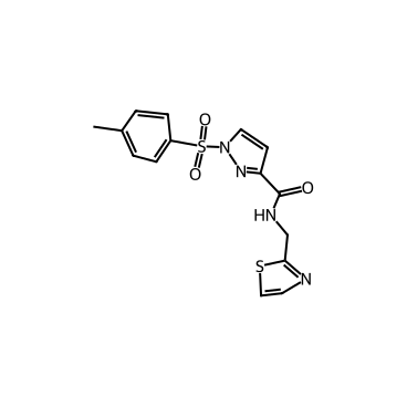 Cc1ccc(S(=O)(=O)n2ccc(C(=O)NCc3nccs3)n2)cc1